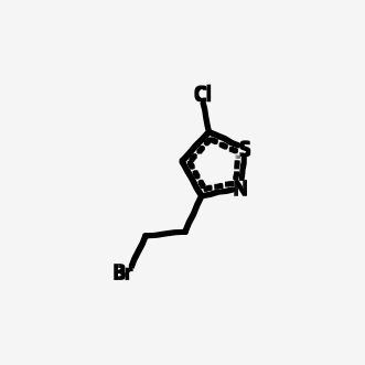 Clc1cc(CCBr)ns1